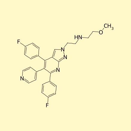 COCCNCCn1cc2c(-c3ccc(F)cc3)c(-c3ccncc3)c(-c3ccc(F)cc3)nc2n1